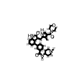 Cc1c(C(=O)N2CCOCC2)c[nH]c1/C=C1\C(=O)Nc2cccc(-c3cccc(C(=O)N(C)C4CCN(C)CC4)c3)c21